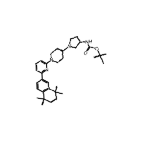 CC(C)(C)OC(=O)NC1CCN(C2CCN(c3cccc(-c4ccc5c(c4)C(C)(C)CCC5(C)C)n3)CC2)C1